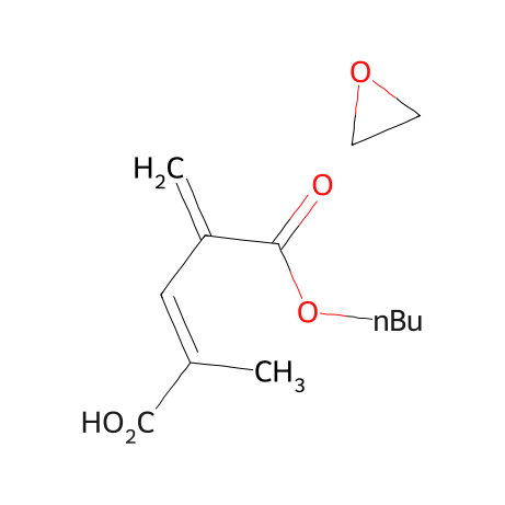 C1CO1.C=C(C=C(C)C(=O)O)C(=O)OCCCC